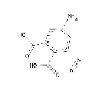 N#N.Nc1ccc(C(=O)O)c(C(=O)O)c1